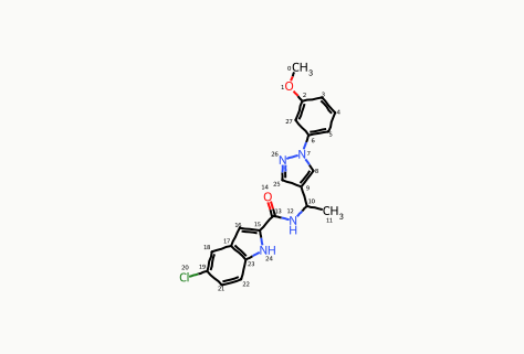 COc1cccc(-n2cc(C(C)NC(=O)c3cc4cc(Cl)ccc4[nH]3)cn2)c1